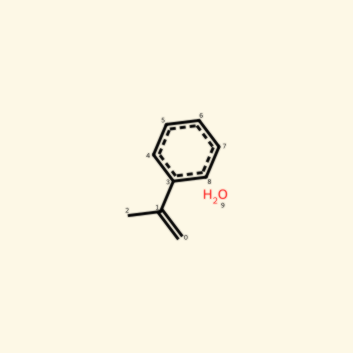 C=C(C)c1ccccc1.O